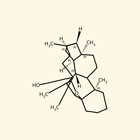 C[C@@H]1CCC(O)C(C)(C)OC23CCCC[C@]2(C)C2CC[C@]4(C)[C@@H]1CC[C@@H]4[C@H]2CC3